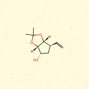 C=C[C@H]1C[C@H](O)[C@@H]2OC(C)(C)O[C@@H]21